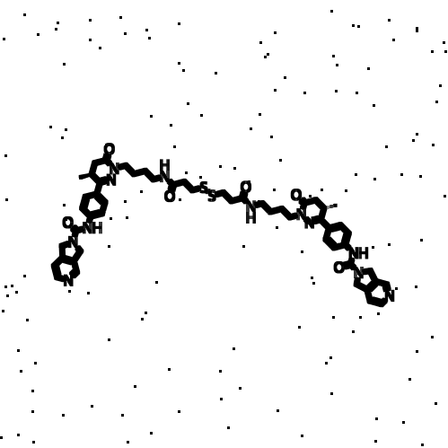 C[C@H]1CC(=O)N(CCCCNC(=O)CCSSCCC(=O)NCCCCN2N=C(c3ccc(NC(=O)N4Cc5ccncc5C4)cc3)[C@@H](C)CC2=O)N=C1c1ccc(NC(=O)N2Cc3ccncc3C2)cc1